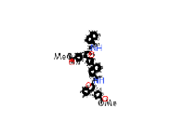 COC(=O)c1ccc([C@H]2C[C@H](CN[C@H](C)c3cccc4c(-c5ccc6c(c5)O[C@@H](CN[C@H](C)c5cccc7ccccc57)C[C@H]6c5ccc(C(=O)OC)cc5)cccc34)Oc3ccccc32)cc1